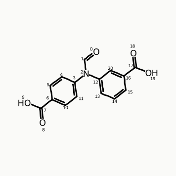 O=CN(c1ccc(C(=O)O)cc1)c1cccc(C(=O)O)c1